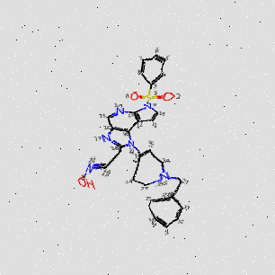 O=S(=O)(c1ccccc1)n1ccc2c1ncc1nc(/C=N/O)n(C3CCN(Cc4ccccc4)CC3)c12